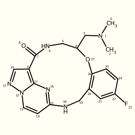 CN(C)CC1CNC(=O)c2cnn3ccc(nc23)NCc2cc(F)ccc2O1